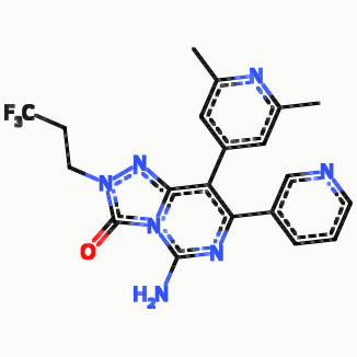 Cc1cc(-c2c(-c3cccnc3)nc(N)n3c(=O)n(CCC(F)(F)F)nc23)cc(C)n1